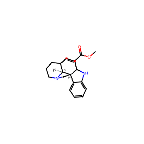 COC(=O)C1=CC23CCCN4CC[C@@]5(c6ccccc6NC15CC2)[C@@H]43